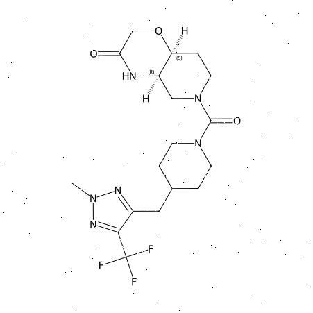 Cn1nc(CC2CCN(C(=O)N3CC[C@@H]4OCC(=O)N[C@@H]4C3)CC2)c(C(F)(F)F)n1